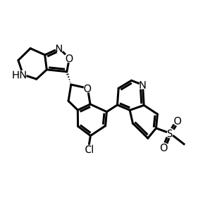 CS(=O)(=O)c1ccc2c(-c3cc(Cl)cc4c3O[C@@H](c3onc5c3CNCC5)C4)ccnc2c1